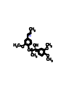 C/C=C/c1ccc(O[C@H](C)[C@H](O)c2ccc(OC)c(OC)c2)c(OC)c1